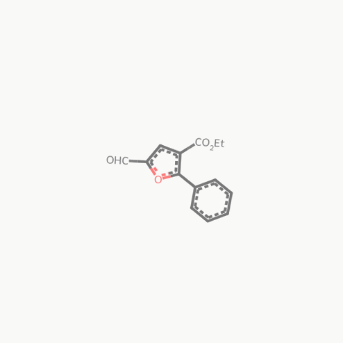 CCOC(=O)c1cc(C=O)oc1-c1ccccc1